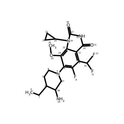 CCC1CCN(c2c(F)c(C(F)F)c3c(=O)[nH]c(=O)n(C4CC4)c3c2OC)CC1N